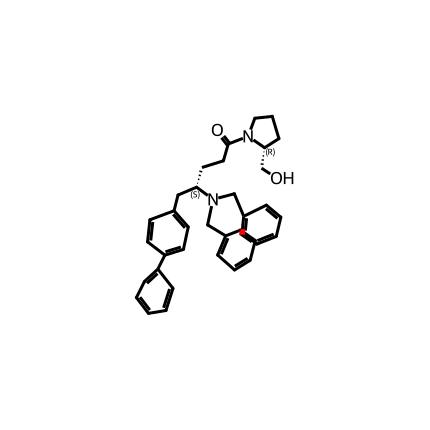 O=C(CC[C@@H](Cc1ccc(-c2ccccc2)cc1)N(Cc1ccccc1)Cc1ccccc1)N1CCC[C@@H]1CO